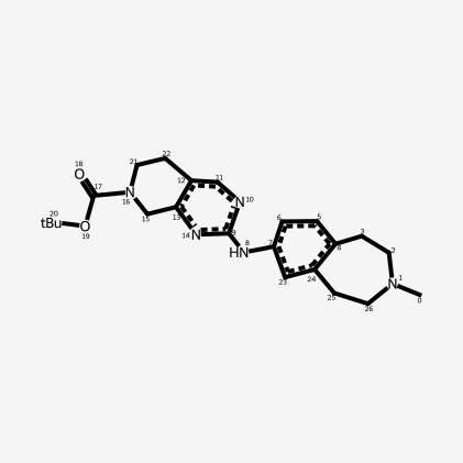 CN1CCc2ccc(Nc3ncc4c(n3)CN(C(=O)OC(C)(C)C)CC4)cc2CC1